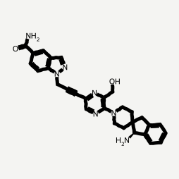 NC(=O)c1ccc2c(cnn2CC#Cc2cnc(N3CCC4(CC3)Cc3ccccc3[C@H]4N)c(CO)n2)c1